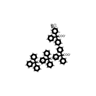 O=C([O-])C(c1ccccc1)(c1ccccc1)c1ccccc1.O=C([O-])C(c1ccccc1)(c1ccccc1)c1ccccc1.O=C([O-])C(c1ccccc1)(c1ccccc1)c1ccccc1.O=C([O-])C(c1ccccc1)(c1ccccc1)c1ccccc1.[Rh+2].[Rh+2]